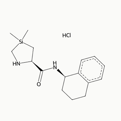 C[Si]1(C)CN[C@H](C(=O)N[C@@H]2CCCc3ccccc32)C1.Cl